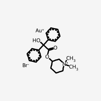 C[N+]1(C)CCCC(OC(=O)C(O)(c2ccccc2)c2ccccc2)C1.[Au+].[Br-]